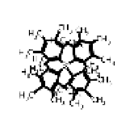 Cc1c(C)c(C)c([B-](c2c(C)c(C)c(C)c(C)c2C)(c2c(C)c(C)c(C)c(C)c2C)c2c(C)c(C)c(C)c(C)c2C)c(C)c1C